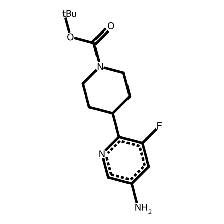 CC(C)(C)OC(=O)N1CCC(c2ncc(N)cc2F)CC1